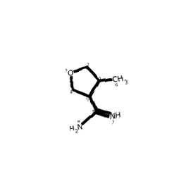 CC1COCC1C(=N)N